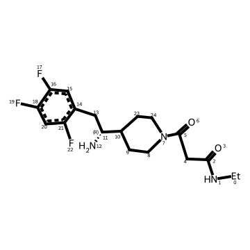 CCNC(=O)CC(=O)N1CCC([C@H](N)Cc2cc(F)c(F)cc2F)CC1